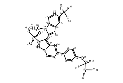 CCS(=O)(=O)c1nn2ccc(-c3ccc(OC(F)(F)C(F)F)cc3)nc2c1-c1nc2cc(C(F)(F)F)ncc2n1C